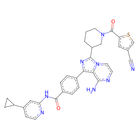 N#Cc1csc(C(=O)N2CCCC(c3nc(-c4ccc(C(=O)Nc5cc(C6CC6)ccn5)cc4)c4c(N)nccn34)C2)c1